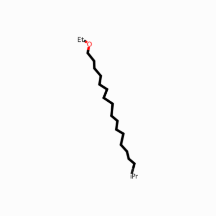 [CH2]COCCCCCCCCCCCCCCCCC(C)C